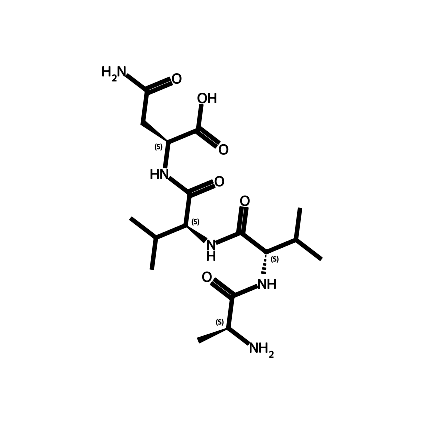 CC(C)[C@H](NC(=O)[C@H](C)N)C(=O)N[C@H](C(=O)N[C@@H](CC(N)=O)C(=O)O)C(C)C